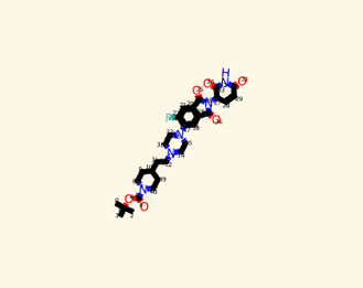 CC(C)(C)OC(=O)N1CCC(CCN2CCN(c3cc4c(cc3F)C(=O)N(C3C=CC(=O)NC3=O)C4=O)CC2)CC1